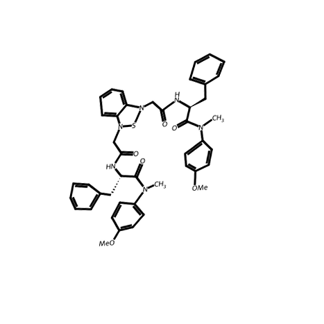 COc1ccc(N(C)C(=O)[C@H](Cc2ccccc2)NC(=O)CN2SN(CC(=O)N[C@@H](Cc3ccccc3)C(=O)N(C)c3ccc(OC)cc3)c3ccccc32)cc1